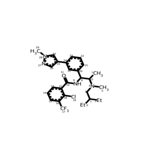 CCC(CC)CN(C)C(C)C(NC(=O)c1cccc(C(F)(F)F)c1Cl)c1cccc(-c2cnn(C)c2)c1